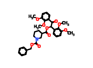 COc1cccc(C(=O)C(OC(=O)C2CCCN(C(=O)OCc3ccccc3)C2)c2cccc(OC)c2OC)c1OC